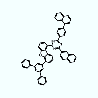 c1ccc(-c2cc(-c3ccccc3)cc(-c3cccc4c3oc3cccc(C5N=C(c6ccc7ccccc7c6)N=C(c6ccc(-c7cccc8ccccc78)cc6)N5)c34)c2)cc1